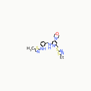 CCc1nnc(SCc2cc(N3CCOCC3)cc(NCc3cccc(NC4=NCC(C)S4)c3)n2)s1